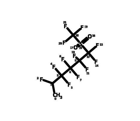 CC(F)C(F)(F)C(F)(F)C(F)(F)C(F)(F)S(=O)(=O)C(F)(F)F